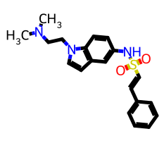 CN(C)CCn1ccc2cc(NS(=O)(=O)C=Cc3ccccc3)ccc21